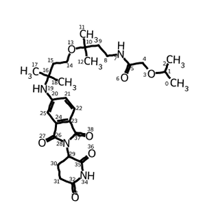 CC(C)OCC(=O)NCCC(C)(C)OCCC(C)(C)Nc1ccc2c(c1)C(=O)N(C1CCC(=O)NC1=O)C2=O